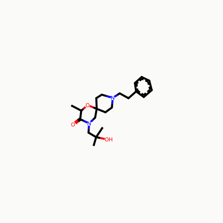 CC1OC2(CCN(CCc3ccccc3)CC2)CN(CC(C)(C)O)C1=O